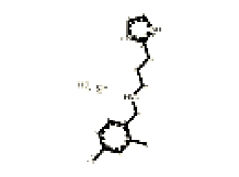 Cc1cc(Cl)ccc1CNCCCc1ncc[nH]1.Cl.Cl